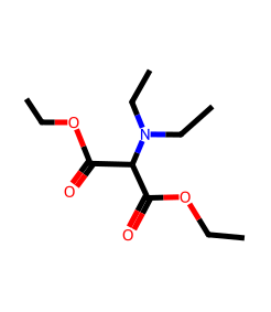 CCOC(=O)C(C(=O)OCC)N(CC)CC